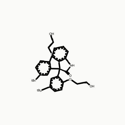 CC(C)(C)c1ccc(OCCO)c(C2(c3cc(C(C)(C)C)ccc3OCCO)C(=O)Nc3ccccc32)c1